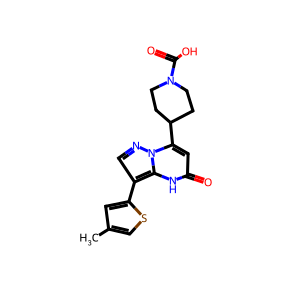 Cc1csc(-c2cnn3c(C4CCN(C(=O)O)CC4)cc(=O)[nH]c23)c1